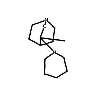 CC1(N2CCCCC2)CN2CCC1CC2